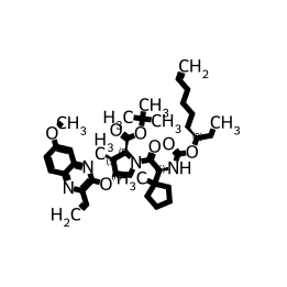 C=CCCCC[C@@H](CC)OC(=O)N[C@H](C(=O)N1C[C@H](Oc2nc3cc(OC)ccc3nc2C=C)[C@@H](C)[C@H]1C(=O)OC(C)(C)C)C1(C)CCCC1